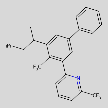 CC(C)CC(C)c1cc(-c2ccccc2)cc(-c2cccc(C(F)(F)F)n2)c1C(F)(F)F